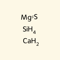 [CaH2].[Mg].[S].[SiH4]